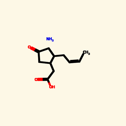 C/C=C\CC1CC(=O)CC1CC(=O)O.N